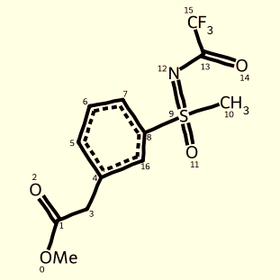 COC(=O)Cc1cccc(S(C)(=O)=NC(=O)C(F)(F)F)c1